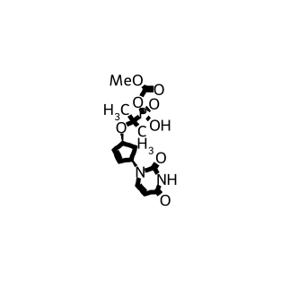 COC(=O)OP(=O)(O)C(C)(C)O[C@@H]1C=C[C@H](n2ccc(=O)[nH]c2=O)C1